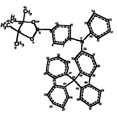 CC1(C)OB(c2ccc(N(c3ccccc3)c3ccc4c(c3)C(c3ccccc3)(c3ccccc3)c3ccccc3-4)cc2)OC1(C)C